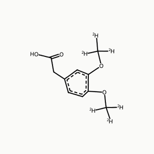 [2H]C([2H])([2H])Oc1ccc(CC(=O)O)cc1OC([2H])([2H])[2H]